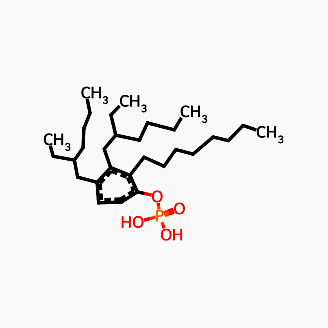 CCCCCCCCc1c(OP(=O)(O)O)ccc(CC(CC)CCCC)c1CC(CC)CCCC